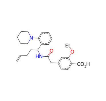 C=CCCC(NC(=O)Cc1ccc(C(=O)O)c(OCC)c1)c1ccccc1N1CCCCC1